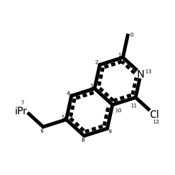 Cc1cc2cc(CC(C)C)ccc2c(Cl)n1